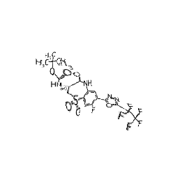 CC(C)(C)OC(=O)N[C@H]1CS(=O)(=O)c2cc(F)c(-c3nnc(C(F)(F)C(F)(F)F)o3)cc2NC1=O